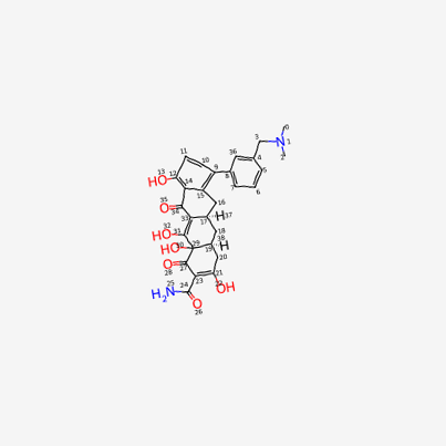 CN(C)Cc1cccc(-c2ccc(O)c3c2C[C@H]2C[C@H]4CC(O)=C(C(N)=O)C(=O)C4(O)C(O)=C2C3=O)c1